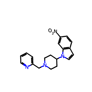 O=[N+]([O-])c1ccc2ccn(C3CCN(Cc4ccccn4)CC3)c2c1